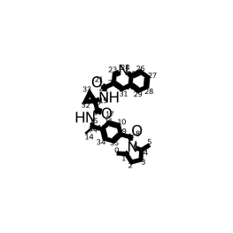 CC1CCC(C)N1C(=O)c1ccc([C@@H](C)NC(=O)C2(NC(=O)c3cnc4ccccc4c3)CC2)cc1